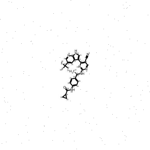 C[C@@H](Nc1ncc(C#N)c(-c2c[nH]c3ncc(C(F)(F)F)cc23)n1)c1ccc(NC(=O)C2CC2)cc1